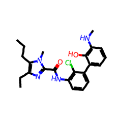 CCCc1c(CC)nc(C(=O)Nc2cccc(-c3cccc(NC)c3O)c2Cl)n1C